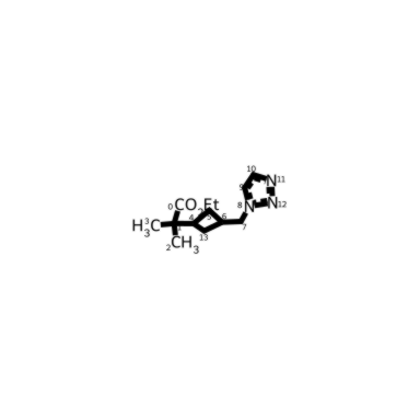 CCOC(=O)C(C)(C)C1CC(Cn2ccnn2)C1